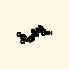 O=C(O)Cc1csc(SCC(=O)NC[C@H]2CN(Cc3ccc(Cl)cc3Cl)CCO2)n1